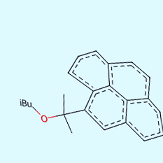 CCC(C)OC(C)(C)c1cc2cccc3ccc4cccc1c4c32